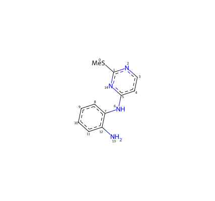 CSc1nccc(Nc2ccccc2N)n1